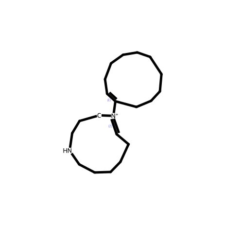 C1=[N+](\C2=C\CCCCCCCCC2)CCCNCCCCC/1